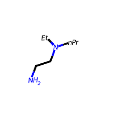 [CH2]CCN(CC)CCN